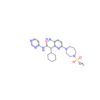 CS(=O)(=O)N1CCCN(c2ccc(N)c(C(C(=O)Nc3ccncn3)C3CCCCC3)n2)CC1